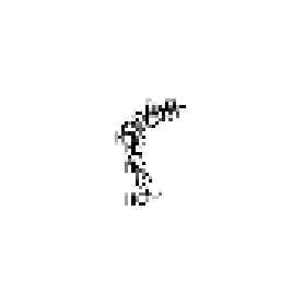 CCN(C)S(=O)(=O)Nc1ccc(F)c(Oc2ccc3ncn(-c4cnc(N5CCN(C(=O)O)CC5)nc4)c(=O)c3c2)c1F